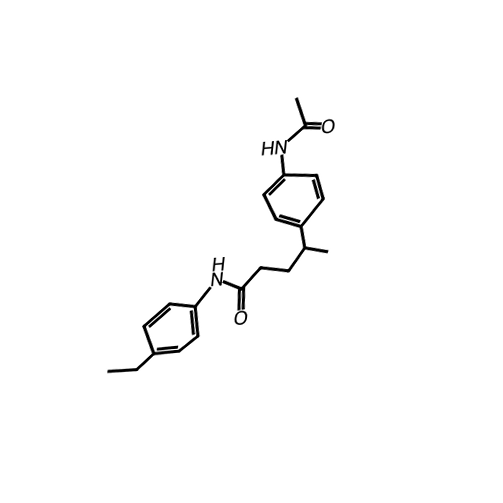 CCc1ccc(NC(=O)CCC(C)c2ccc(NC(C)=O)cc2)cc1